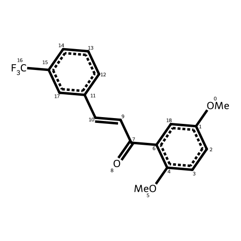 COc1ccc(OC)c(C(=O)/C=C/c2cccc(C(F)(F)F)c2)c1